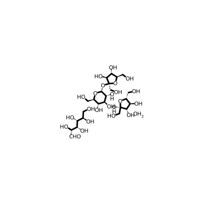 O.O=C[C@H](O)[C@@H](O)[C@H](O)[C@H](O)CO.OC[C@H]1O[C@@](CO)(O[C@H]2O[C@H](CO)[C@@H](O)[C@H](O)[C@H]2O)[C@@H](O)[C@@H]1O.OC[C@H]1O[C@](O)(CO)[C@@H](O)[C@@H]1O